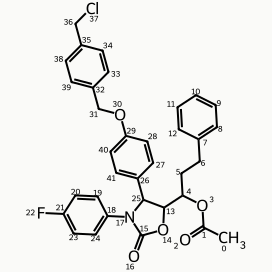 CC(=O)OC(CCc1ccccc1)C1OC(=O)N(c2ccc(F)cc2)C1c1ccc(OCc2ccc(CCl)cc2)cc1